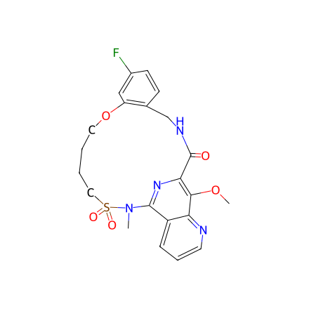 COc1c2nc(c3cccnc13)N(C)S(=O)(=O)CCCCOc1cc(F)ccc1CNC2=O